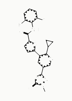 Cn1nc(-c2cnc(C3CC3)c(-c3ccc(C(=O)Nc4c(F)cccc4F)s3)c2)oc1=O